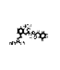 CCCN(CCC)CCc1ccccc1CC(=O)NOC(=O)Cc1ccccc1.Cl